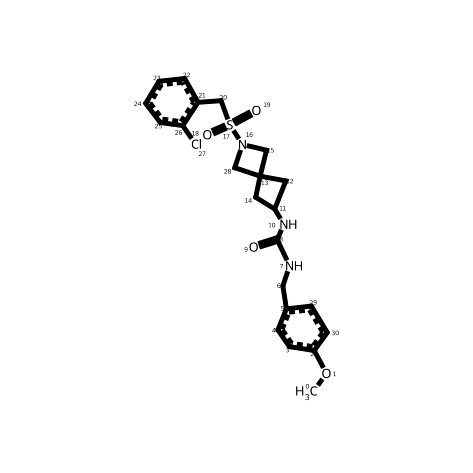 COc1ccc(CNC(=O)NC2CC3(C2)CN(S(=O)(=O)Cc2ccccc2Cl)C3)cc1